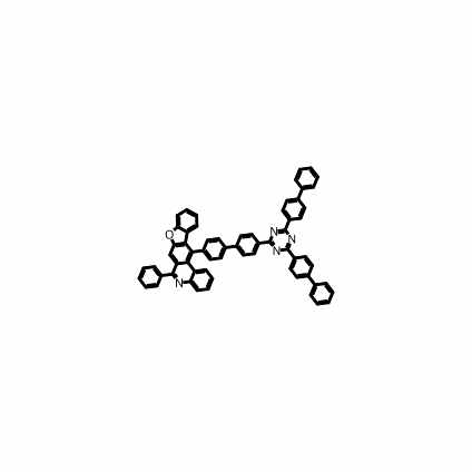 c1ccc(-c2ccc(-c3nc(-c4ccc(-c5ccccc5)cc4)nc(-c4ccc(-c5ccc(-c6c7c(cc8c(-c9ccccc9)nc9ccccc9c68)oc6ccccc67)cc5)cc4)n3)cc2)cc1